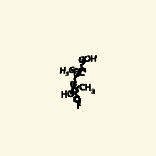 CCCc1c(CCC(=O)O)cccc1OCCCOc1cc(O)c(-c2ccc(F)cc2)cc1CC